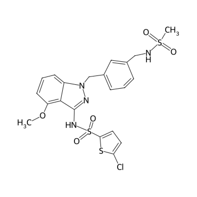 COc1cccc2c1c(NS(=O)(=O)c1ccc(Cl)s1)nn2Cc1cccc(CNS(C)(=O)=O)c1